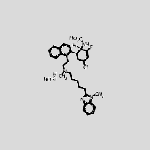 CC(C)[C@@]1(NC(=O)O)C(F)=CC(Cl)C[C@H]1c1ccc2ccccc2c1CCN(C)CCCCCc1nc2ccccc2n1C.Cl.Cl